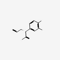 C=CC[C@H](C(C)=O)c1ccc(Cl)c(Cl)c1